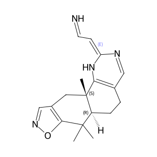 CC1(C)c2oncc2C[C@]2(C)C3=C(C=N/C(=C/C=N)N3)CC[C@@H]12